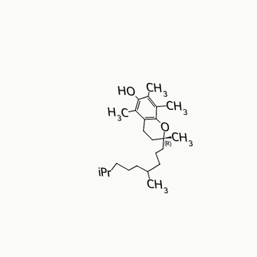 Cc1c(C)c2c(c(C)c1O)CC[C@@](C)(CCCC(C)CCCC(C)C)O2